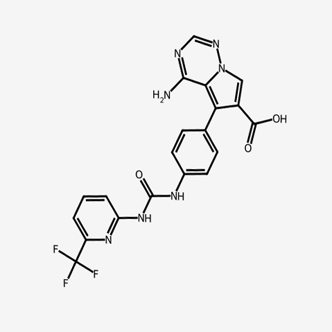 Nc1ncnn2cc(C(=O)O)c(-c3ccc(NC(=O)Nc4cccc(C(F)(F)F)n4)cc3)c12